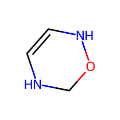 C1=CNOCN1